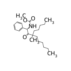 CCCCCCC(C)(CCCCC)C(=O)[C@H](NC(=O)OC)c1ccccc1